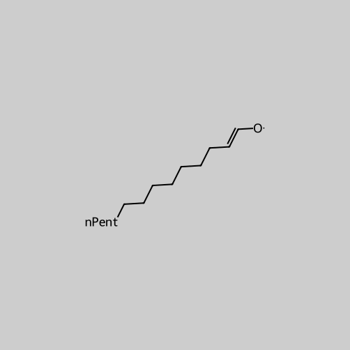 CCCCCCCCCCCCC=C[O]